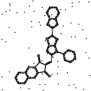 O=C1C(=Cc2cc3oc(-c4cc5ccccc5s4)nc3n2-c2ccccc2)C(=O)c2cc3ccccc3cc21